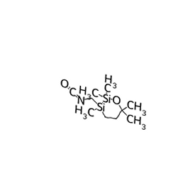 CC1(C)CC[Si](C)(CN=C=O)[Si](C)(C)O1